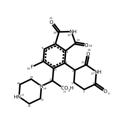 O=C1CCC(c2c3c(cc(F)c2C(C(=O)O)N2CCNCC2)C(=O)NC3=O)C(=O)N1